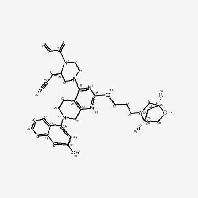 C=CC(=C)N1CCN(c2nc(OCCCN3C[C@@H]4C[C@H]3CO4)nc3c2CCN(c2cc(O)cc4ccccc24)C3)CC1CC#N